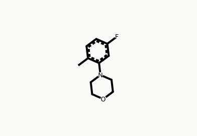 Cc1ccc(F)cc1N1CCOCC1